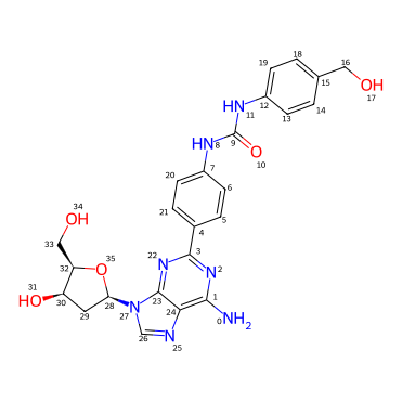 Nc1nc(-c2ccc(NC(=O)Nc3ccc(CO)cc3)cc2)nc2c1ncn2[C@H]1C[C@@H](O)[C@@H](CO)O1